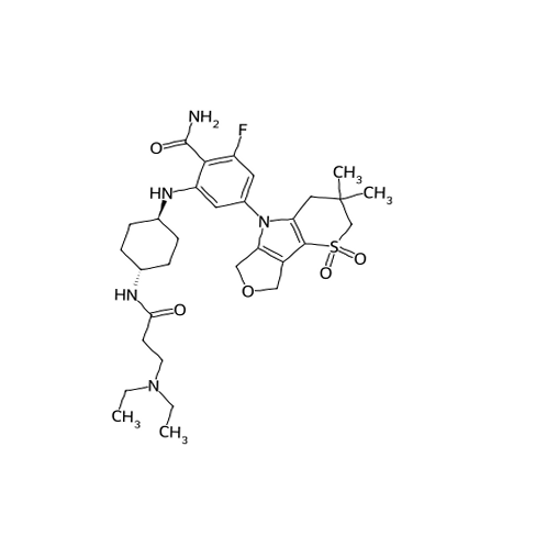 CCN(CC)CCC(=O)N[C@H]1CC[C@H](Nc2cc(-n3c4c(c5c3CC(C)(C)CS5(=O)=O)COC4)cc(F)c2C(N)=O)CC1